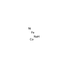 [Co].[Fe].[NaH].[Ni]